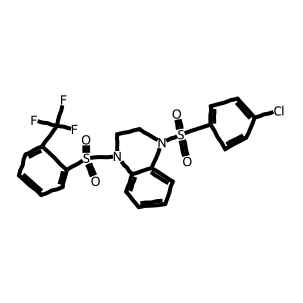 O=S(=O)(c1ccc(Cl)cc1)N1CCN(S(=O)(=O)c2ccccc2C(F)(F)F)c2ccccc21